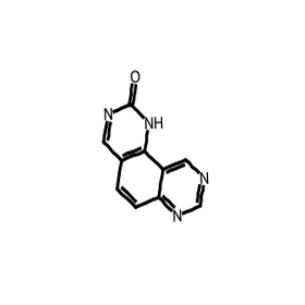 O=c1ncc2ccc3ncncc3c2[nH]1